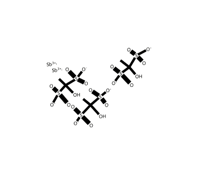 CC(O)(S(=O)(=O)[O-])S(=O)(=O)[O-].CC(O)(S(=O)(=O)[O-])S(=O)(=O)[O-].CC(O)(S(=O)(=O)[O-])S(=O)(=O)[O-].[Sb+3].[Sb+3]